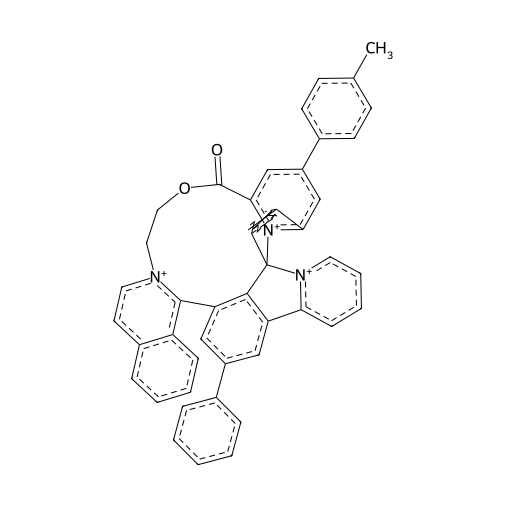 Cc1ccc(-c2cc3[n+]4c(c2)-c2ccccc2C42c4c(cc(-c5ccccc5)cc4-c4cccc[n+]42)-c2c4ccccc4cc[n+]2CCOC3=O)cc1